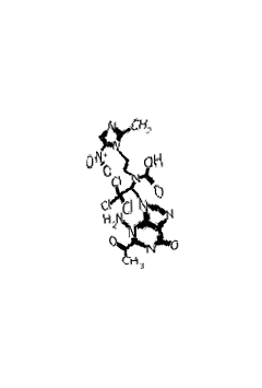 CC(=O)c1nc(=O)c2ncn(C(N(CCn3c([N+](=O)[O-])cnc3C)C(=O)O)C(Cl)(Cl)Cl)c2n1N